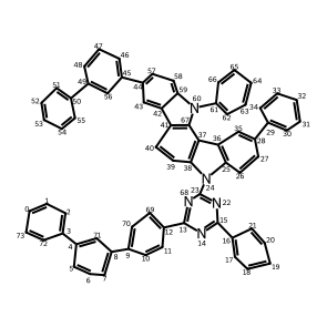 c1ccc(-c2cccc(-c3ccc(-c4nc(-c5ccccc5)nc(-n5c6ccc(-c7ccccc7)cc6c6c5ccc5c7cc(-c8cccc(-c9ccccc9)c8)ccc7n(-c7ccccc7)c56)n4)cc3)c2)cc1